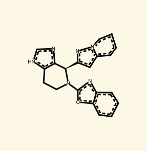 c1ccc2oc(N3CCc4[nH]cnc4[C@H]3c3cc4ccccn4n3)nc2c1